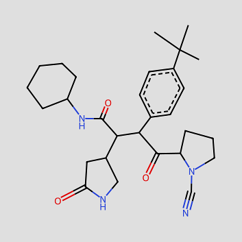 CC(C)(C)c1ccc(C(C(=O)C2CCCN2C#N)C(C(=O)NC2CCCCC2)C2CNC(=O)C2)cc1